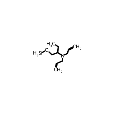 C=CCN(CC=C)C(CC)CO[SiH3]